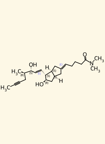 CC#CC[C@@H](C)[C@H](O)/C=C/[C@@H]1[C@H]2C/C(=C/CCCC(=O)N(C)C)C[C@H]2C[C@H]1O